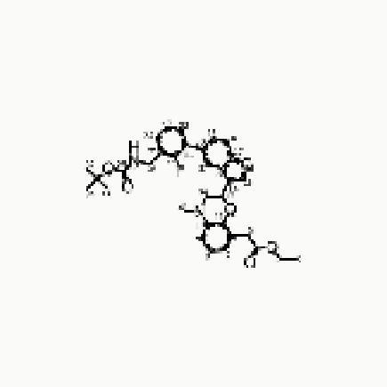 CCOC(=O)Cc1cccc2c1OC(c1coc3ccc(-c4cccc(CNC(=O)OC(C)(C)C)c4F)cc13)CN2C